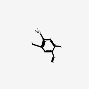 C=Cc1cc(C)c(O)cc1C